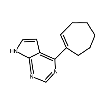 C1=C(c2ncnc3[nH]ccc23)CCCCC1